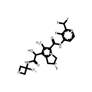 Cc1c(C(O)C(=O)NC2(C(F)(F)F)COC2)c2n(c1C(=O)Nc1ccnc(C(F)F)c1F)C[C@H](F)C2